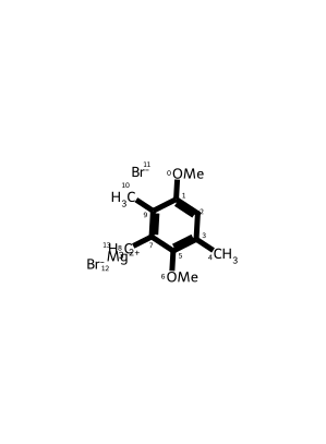 COc1cc(C)c(OC)c(C)c1C.[Br-].[Br-].[Mg+2]